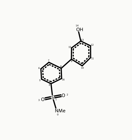 CNS(=O)(=O)c1cccc(-c2cccc(O)c2)c1